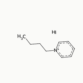 CCCC[n+]1ccccc1.I